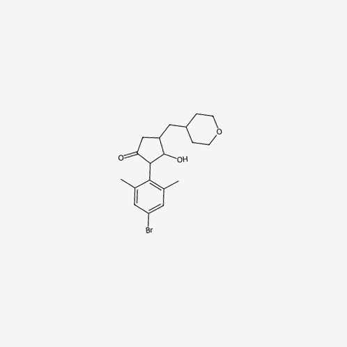 Cc1cc(Br)cc(C)c1C1C(=O)CC(CC2CCOCC2)C1O